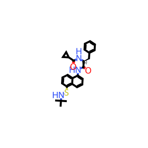 CC(C)(C)NSc1cccc2c(NC(=O)[C@H](Cc3ccccc3)NC(=O)C3CC3)cccc12